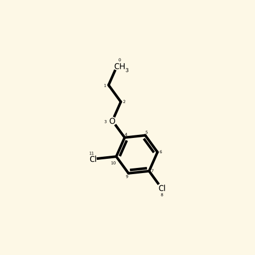 C[CH]COc1ccc(Cl)cc1Cl